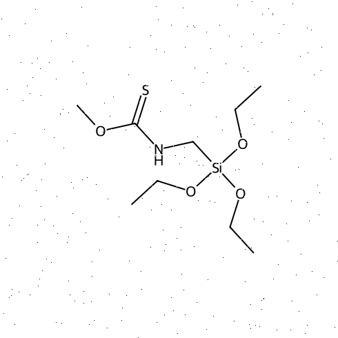 CCO[Si](CNC(=S)OC)(OCC)OCC